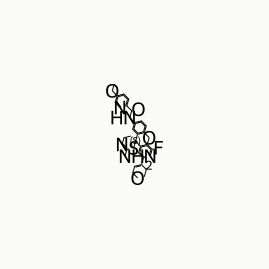 COc1ccc(C(=O)Nc2ccc3c(c2)[C@@]2(CCN=C(N)S2)c2cc(C4=CCOCC4)nc(F)c2O3)nc1